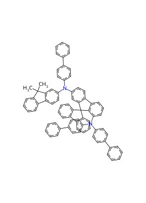 CC1(C)c2ccccc2-c2ccc(N(c3ccc(-c4ccccc4)cc3)c3ccc4c(c3)C3(c5ccccc5-c5ccccc53)c3c-4cccc3N(c3ccc(-c4ccccc4)cc3)c3ccc(-c4ccccc4)cc3)cc21